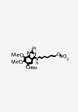 COc1cc2c(NCCCCCCO[N+](=O)[O-])nc(C(C)C)nc2c(OC)c1OC